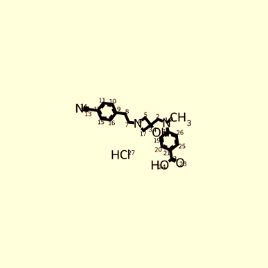 CN(CC1(O)CN(CCc2ccc(C#N)cc2)C1)c1ccc(C(=O)O)cc1.Cl